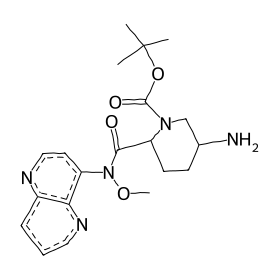 CON(C(=O)C1CCC(N)CN1C(=O)OC(C)(C)C)c1ccnc2cccnc12